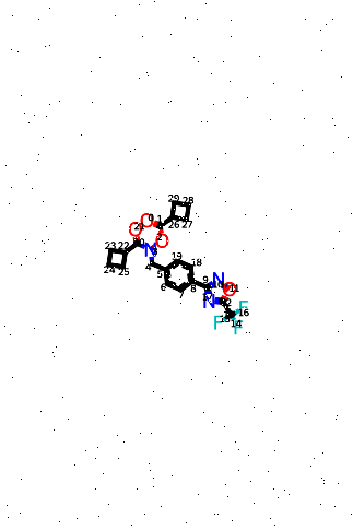 O=C(ON(Cc1ccc(-c2noc(C(F)(F)F)n2)cc1)C(=O)C1CCC1)C1CCC1